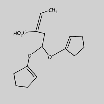 C/C=C(\CC(OC1=CCCC1)OC1=CCCC1)C(=O)O